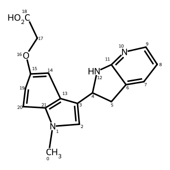 Cn1cc(C2Cc3cccnc3N2)c2cc(OCC(=O)O)ccc21